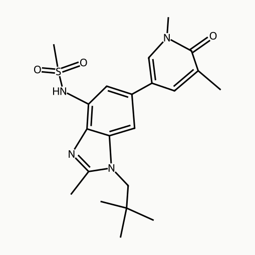 Cc1cc(-c2cc(NS(C)(=O)=O)c3nc(C)n(CC(C)(C)C)c3c2)cn(C)c1=O